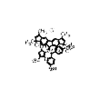 CCC1=[C]([Zr+2](=[C](c2ccc(C(C)(C)C)cc2)c2ccc(C(C)(C)C)cc2)[CH]2c3cc4c(cc3-c3cc5c(cc32)C(C)(C)C=C5C)C(C)=CC4(C)C)C(C)C=C1C(C)(C)C.[Cl-].[Cl-]